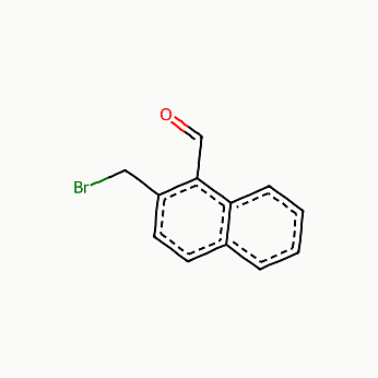 O=Cc1c(CBr)ccc2ccccc12